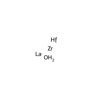 O.[Hf].[La].[Zr]